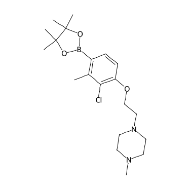 Cc1c(B2OC(C)(C)C(C)(C)O2)ccc(OCCN2CCN(C)CC2)c1Cl